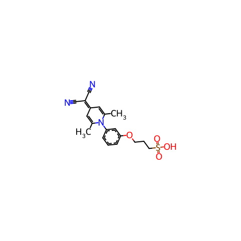 CC1=CC(=C(C#N)C#N)C=C(C)N1c1cccc(OCCCS(=O)(=O)O)c1